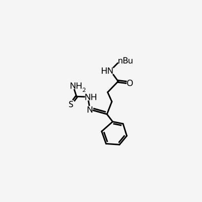 CCCCNC(=O)CCC(=NNC(N)=S)c1ccccc1